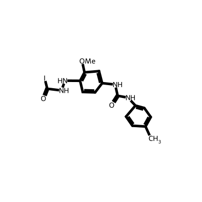 COc1cc(NC(=O)Nc2ccc(C)cc2)ccc1NNC(=O)I